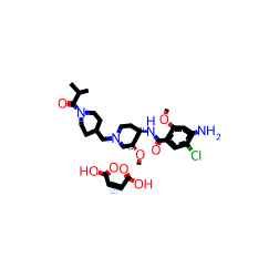 COc1cc(N)c(Cl)cc1C(=O)N[C@@H]1CCN(CC2CCN(C(=O)C(C)C)CC2)C[C@@H]1OC.O=C(O)/C=C\C(=O)O